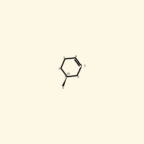 C[C@H]1CCC=IC1